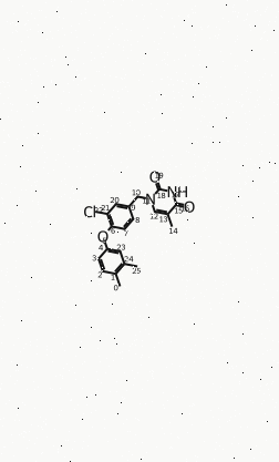 Cc1ccc(Oc2ccc(Cn3cc(C)c(=O)[nH]c3=O)cc2Cl)cc1C